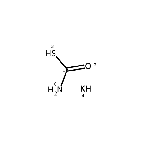 NC(=O)S.[KH]